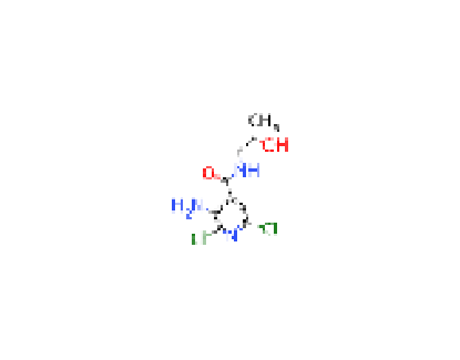 CC(O)CNC(=O)c1cc(Cl)nc(Cl)c1N